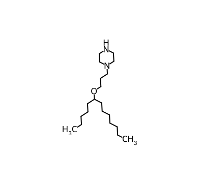 CCCCCCCC(CCCCC)OCCCN1CCNCC1